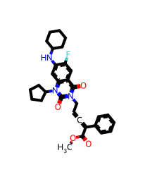 COC(=O)C(=C=CCn1c(=O)c2cc(F)c(NC3CCCCC3)cc2n(C2CCCC2)c1=O)c1ccccc1